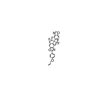 C=CCOc1ccc(-c2nc3cc(C(c4ccc5ocnc5c4)(C(F)(F)F)C(F)(F)F)ccc3o2)cc1